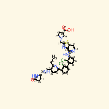 CCc1nc(-c2cccc(-c3cccc(Nc4nccc5sc(CN6CC[C@H](C(=O)O)C6)nc45)c3Cl)c2Cl)ccc1CNC[C@@H]1CCC(=O)N1